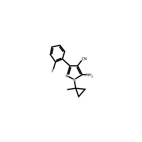 CC1(n2nc(-c3ccc[c]c3F)c(C#N)c2N)CC1